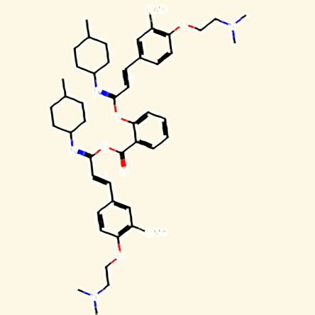 COc1cc(/C=C/C(=NC2CCC(C)CC2)OC(=O)c2ccccc2OC(/C=C/c2ccc(OCCN(C)C)c(OC)c2)=NC2CCC(C)CC2)ccc1OCCN(C)C